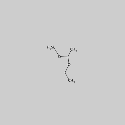 CCOC(C)O[SiH3]